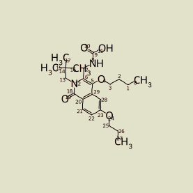 CCCCOc1c(CNC(=O)O)n(CC(C)(C)C)c(=O)c2ccc(OCCC)cc12